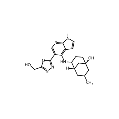 CC1C[C@H]2C[C@](O)(CC[C@H]2Nc2c(-c3nnc(CO)o3)cnc3[nH]ccc23)C1